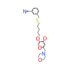 N#Cc1cccc(CSCCCCCOc2coc(CN3CCOCC3)cc2=O)c1